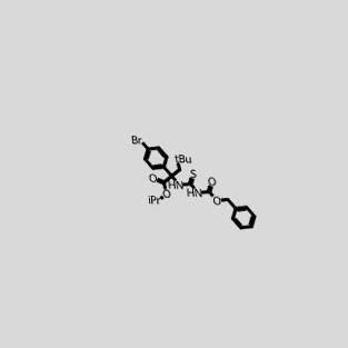 CC(C)OC(=O)C(CC(C)(C)C)(NC(=S)NC(=O)OCc1ccccc1)c1ccc(Br)cc1